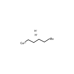 CCCCCCC[CH2][Ga+2].[H-].[H-]